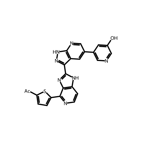 CC(=O)c1ccc(-c2nccc3[nH]c(-c4n[nH]c5ncc(-c6cncc(O)c6)cc45)nc23)s1